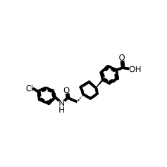 O=C(C[C@H]1CC[C@H](c2ccc(C(=O)O)cc2)CC1)Nc1ccc(Cl)cc1